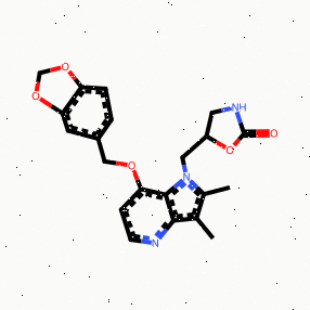 Cc1c(C)n(CC2CNC(=O)O2)c2c(OCc3ccc4c(c3)OCO4)ccnc12